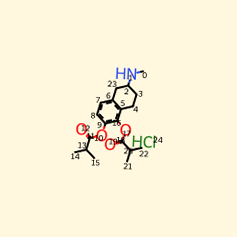 CNC1CCc2c(ccc(OC(=O)C(C)C)c2OC(=O)C(C)C)C1.Cl